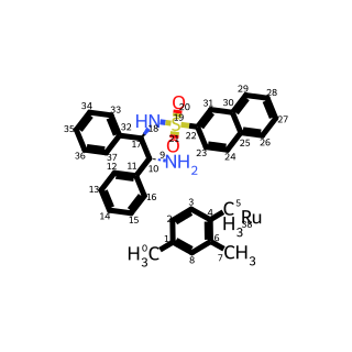 Cc1ccc(C)c(C)c1.N[C@H](c1ccccc1)[C@H](NS(=O)(=O)c1ccc2ccccc2c1)c1ccccc1.[Ru]